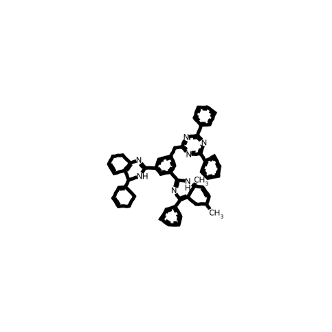 CC1C=CC2(C)NC(c3cc(Cc4nc(-c5ccccc5)nc(-c5ccccc5)n4)cc(C4=NC5=C(C=CCC5)C(C5=CC=CCC5)N4)c3)=NC(c3ccccc3)=C2C1